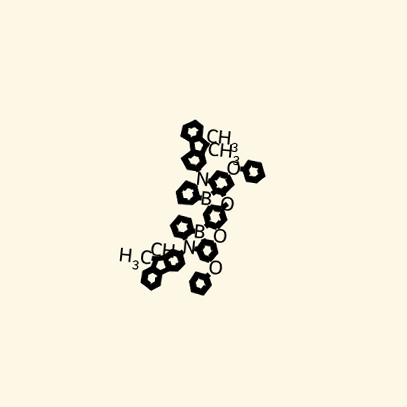 CC1(C)c2ccccc2-c2ccc(N3c4ccccc4B4c5cc6c(cc5Oc5cc(Oc7ccccc7)cc3c54)Oc3cc(Oc4ccccc4)cc4c3B6c3ccccc3N4c3ccc4c(c3)C(C)(C)c3ccccc3-4)cc21